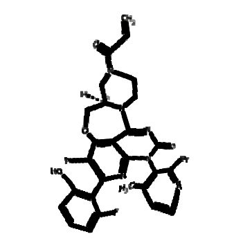 C=CC(=O)N1CCN2c3nc(=O)n(-c4c(C)ccnc4C(C)C)c4nc(-c5c(O)cccc5F)c(F)c(c34)OC[C@H]2C1